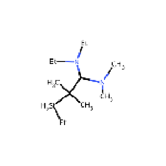 CC[SiH2]C(C)(C)C(N(C)C)N(CC)CC